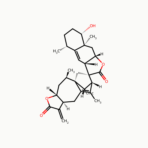 C=C1C(=O)O[C@@H]2C[C@@H](C)[C@]34C[C@]5(C(=O)O[C@H]6C[C@@]7(C)C(=C[C@H]65)[C@H](C)CC[C@@H]7O)[C@H](C(C)=C3C[C@@H]12)[C@@H]4OC(C)=O